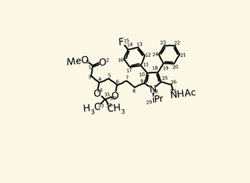 COC(=O)CC1CC(CCc2c(-c3ccc(F)cc3)c(-c3ccccc3)c(CNC(C)=O)n2C(C)C)OC(C)(C)O1